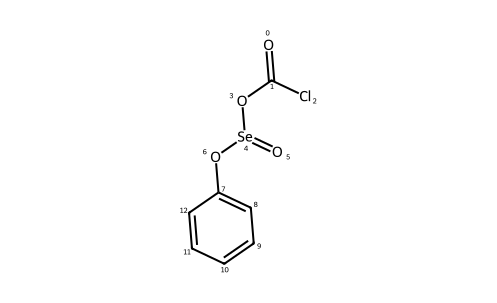 O=C(Cl)O[Se](=O)Oc1ccccc1